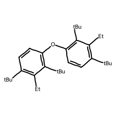 CCc1c(C(C)(C)C)ccc(Oc2ccc(C(C)(C)C)c(CC)c2C(C)(C)C)c1C(C)(C)C